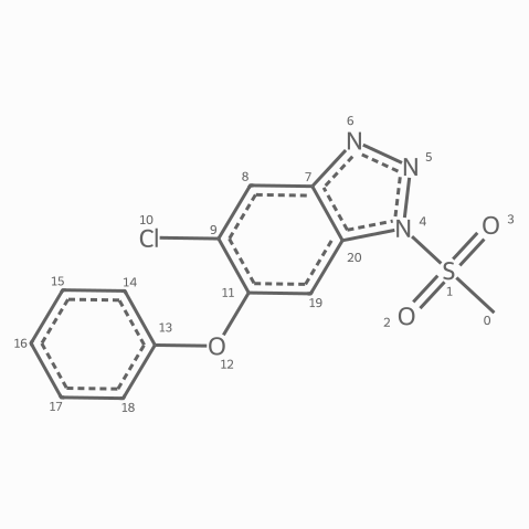 CS(=O)(=O)n1nnc2cc(Cl)c(Oc3ccccc3)cc21